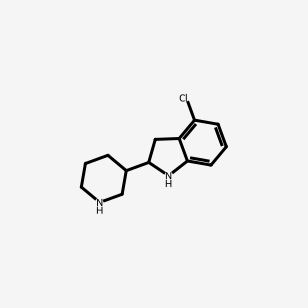 Clc1cccc2c1CC(C1CCCNC1)N2